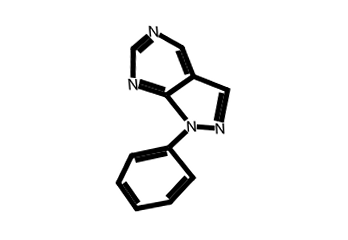 c1ccc(-n2ncc3cncnc32)cc1